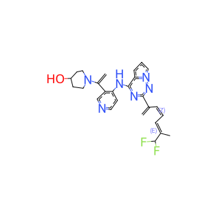 C=C(/C=C\C=C(/C)C(F)F)c1nc(Nc2ccncc2C(=C)N2CCC(O)CC2)c2cccn2n1